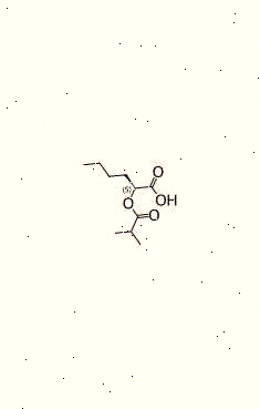 CCCC[C@H](OC(=O)C(C)C)C(=O)O